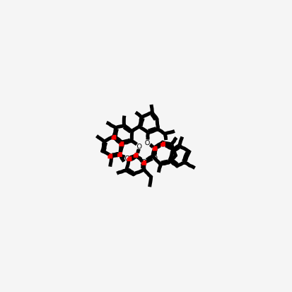 CCc1cc(C)ccc1OP(Oc1ccc(C)cc1C)Oc1c(C(C)C)cc(C)c(C)c1-c1c(C)c(C)cc(C(C)C)c1OP(OC1=CC=C(C)CC=C1C)Oc1ccc(C)cc1C